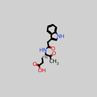 CC(=O)[C@H](CCC(=O)O)NC(=O)Cc1c[nH]c2ccccc12